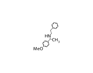 COc1ccc(C(C)NCCc2ccccc2)cc1